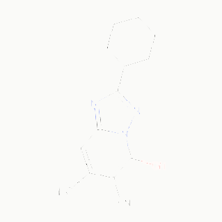 Cc1cc2nc(C3CCCCC3)nn2c(O)c1C#N